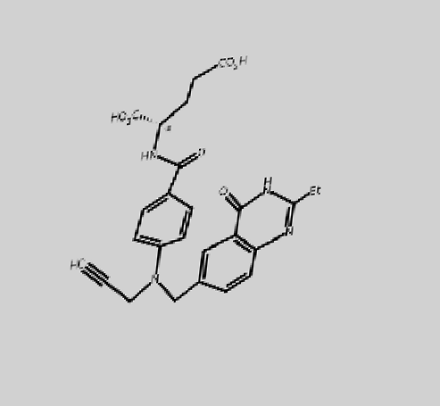 C#CCN(Cc1ccc2nc(CC)[nH]c(=O)c2c1)c1ccc(C(=O)N[C@@H](CCC(=O)O)C(=O)O)cc1